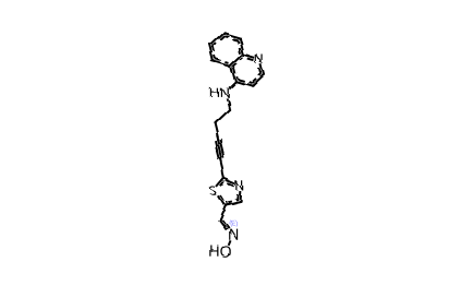 O/N=C/c1cnc(C#CCCNc2ccnc3ccccc23)s1